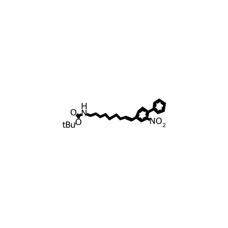 CC(C)(C)OC(=O)NCCCCCCCC=Cc1ccc(-c2ccccc2)c([N+](=O)[O-])c1